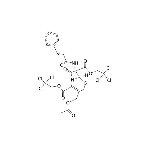 CC(=O)OCC1=C(C(=O)OCC(Cl)(Cl)Cl)N2C(=O)[C@@](NC(=O)CSc3ccccc3)(C(=O)OCC(Cl)(Cl)Cl)[C@H]2SC1